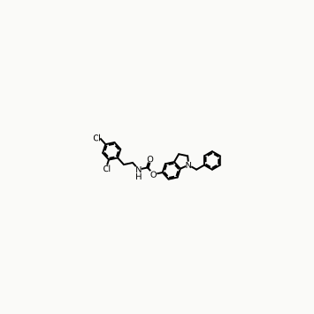 O=C(NCCc1ccc(Cl)cc1Cl)Oc1ccc2c(c1)CCN2Cc1ccccc1